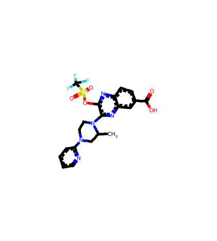 CC1CN(c2ccccn2)CCN1c1nc2cc(C(=O)O)ccc2nc1OS(=O)(=O)C(F)(F)F